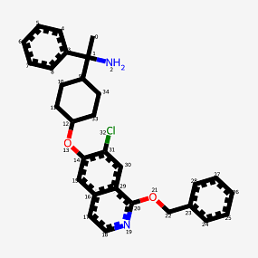 CC(N)(c1ccccc1)C1CCC(Oc2cc3ccnc(OCc4ccccc4)c3cc2Cl)CC1